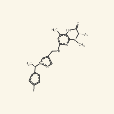 CC(=O)[C@H]1C(=O)Nc2c(C)nc(NCc3cnn([C@H](C)c4ccc(F)cc4)c3)nc2N1C